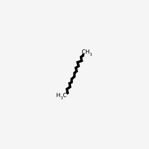 CCC[CH]CCCCCCCCCCCCC